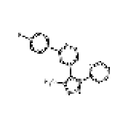 Cc1nnn(-c2ccccn2)c1-c1ccnc(-c2ccc(F)cc2)c1